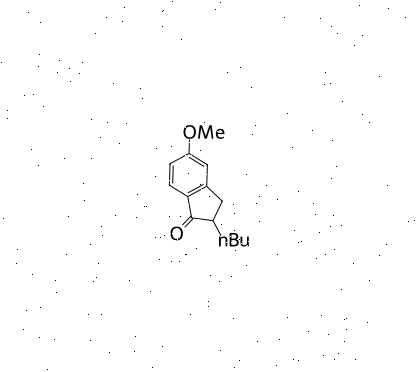 CCCCC1Cc2cc(OC)ccc2C1=O